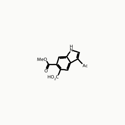 COC(=O)c1cc2[nH]cc(C(C)=O)c2cc1C(=O)O